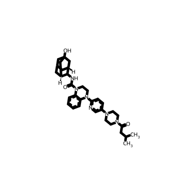 CC(C)CC(=O)N1CCN(c2ccc(N3CCN(C(=O)NC4[C@@H]5CC6C[C@H]4CC(O)(C6)C5)c4ccccc43)nc2)CC1